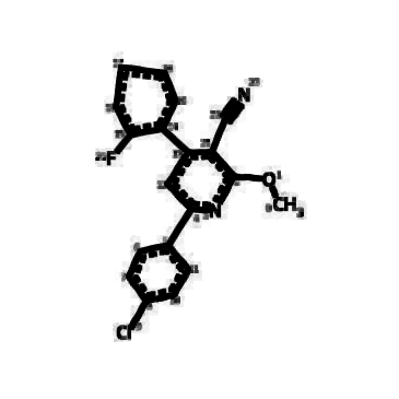 COc1nc(-c2ccc(Cl)cc2)cc(-c2ccccc2F)c1C#N